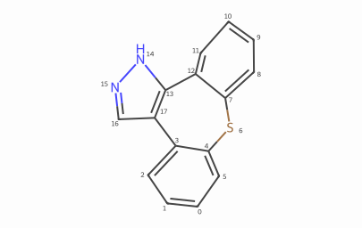 c1ccc2c(c1)Sc1ccccc1-c1[nH]ncc1-2